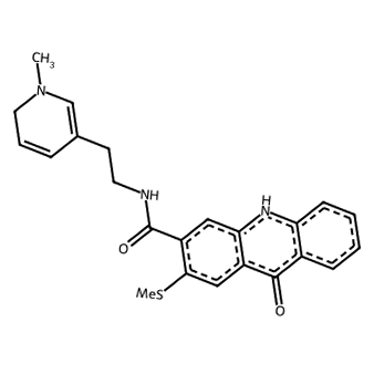 CSc1cc2c(=O)c3ccccc3[nH]c2cc1C(=O)NCCC1=CN(C)CC=C1